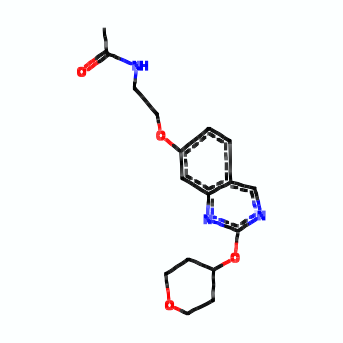 CC(=O)NCCOc1ccc2cnc(OC3CCOCC3)nc2c1